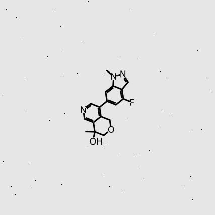 Cn1ncc2c(F)cc(-c3cncc4c3COCC4(C)O)cc21